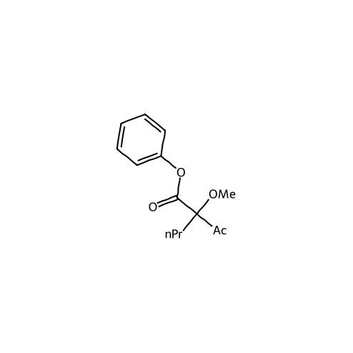 CCCC(OC)(C(C)=O)C(=O)Oc1ccccc1